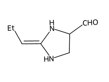 CCC=C1NCC(C=O)N1